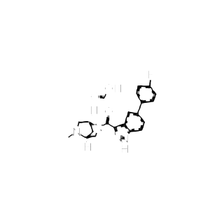 CN1C[C@@H]2C[C@H]1CN2C(=O)c1n[nH]c2ccc(-c3ccc(F)cc3)cc12.O=CO